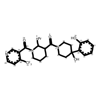 CCCC1C(C(=O)N2CCC(O)(c3ccccc3O)CC2)CCCN1C(=O)c1cnccc1C(F)(F)F